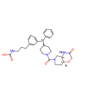 O=C(O)NCCCc1cccc([C@@H](c2ccccc2)C2CCN(C(=O)N3CC[C@@H]4OCC(=O)N[C@@H]4C3)CC2)c1